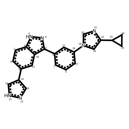 c1cc(-c2n[nH]c3ccc(-c4cn[nH]c4)cc23)cc(-n2cnc(C3CC3)c2)c1